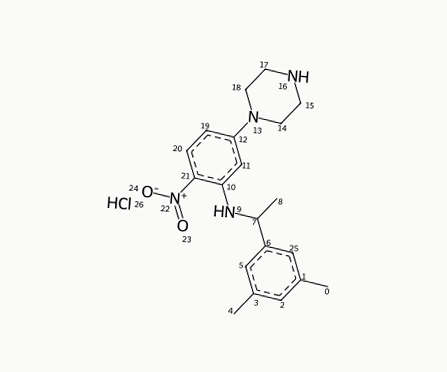 Cc1cc(C)cc(C(C)Nc2cc(N3CCNCC3)ccc2[N+](=O)[O-])c1.Cl